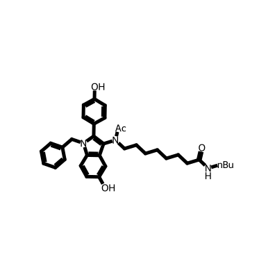 CCCCNC(=O)CCCCCCCN(C(C)=O)c1c(-c2ccc(O)cc2)n(Cc2ccccc2)c2ccc(O)cc12